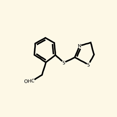 O=CCc1ccccc1SC1=NCCS1